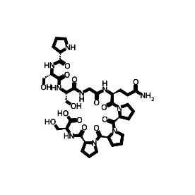 NC(=O)CC[C@H](NC(=O)CNC(=O)[C@H](CO)NC(=O)[C@H](CO)NC(=O)[C@@H]1CCCN1)C(=O)N1CCC[C@H]1C(=O)N1CCC[C@H]1C(=O)N1CCC[C@H]1C(=O)N[C@@H](CO)C(=O)O